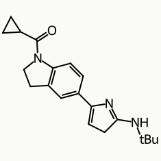 CC(C)(C)NC1=NC(c2ccc3c(c2)CCN3C(=O)C2CC2)=CC1